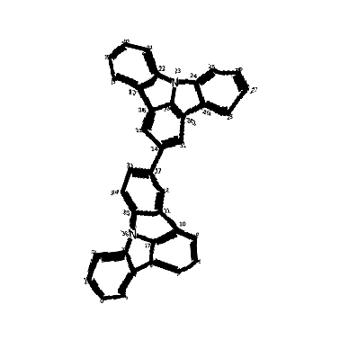 c1ccc2c(c1)c1cccc3c4cc(-c5cc6c7ccccc7n7c8ccccc8c(c5)c67)ccc4n2c13